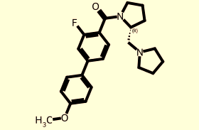 COc1ccc(-c2ccc(C(=O)N3CCC[C@@H]3CN3CCCC3)c(F)c2)cc1